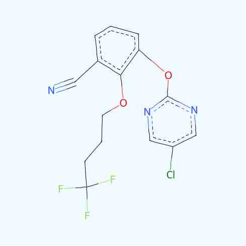 N#Cc1cccc(Oc2ncc(Cl)cn2)c1OCCCC(F)(F)F